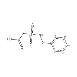 O=C(O)CS(=O)(=O)NCc1ccccc1